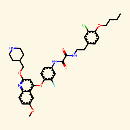 CCCCOc1ccc(CCNC(=O)C(=O)Nc2ccc(Oc3cc(OCC4CCNCC4)nc4ccc(OC)cc34)c(F)c2)cc1Cl